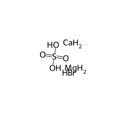 Br.O=S(=O)(O)O.[CaH2].[MgH2]